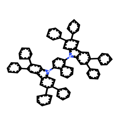 c1ccc(-c2cc3c4cc(-c5ccccc5)c(-c5ccccc5)cc4n(-c4ccc(-n5c6cc(-c7ccccc7)c(-c7ccccc7)cc6c6cc(-c7ccccc7)c(-c7ccccc7)cc65)c5ccccc45)c3cc2-c2ccccc2)cc1